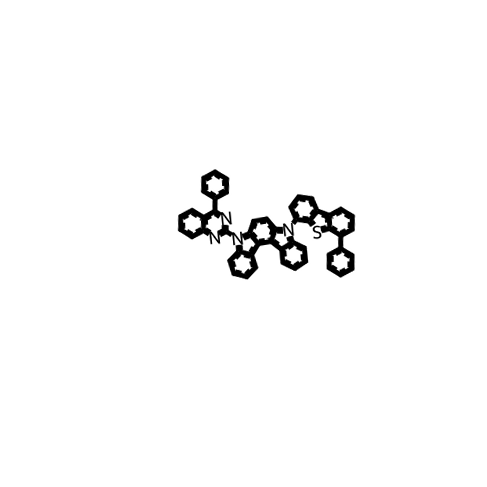 c1ccc(-c2nc(-n3c4ccccc4c4c5c6ccccc6n(-c6cccc7c6sc6c(-c8ccccc8)cccc67)c5ccc43)nc3ccccc23)cc1